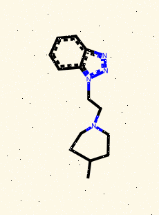 CC1CCN(CCn2nnc3ccccc32)CC1